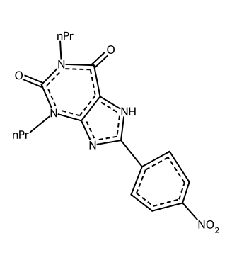 CCCn1c(=O)c2[nH]c(-c3ccc([N+](=O)[O-])cc3)nc2n(CCC)c1=O